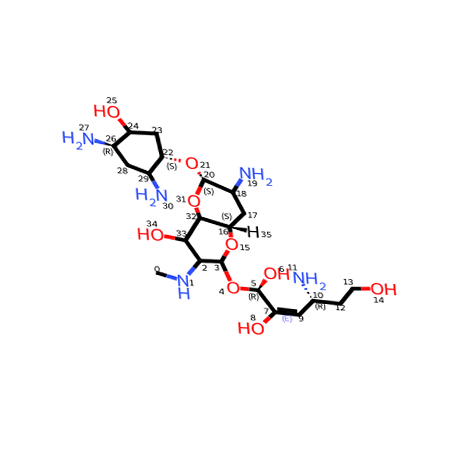 CNC1C(O[C@@H](O)/C(O)=C\[C@H](N)CCO)O[C@H]2CC(N)[C@@H](O[C@H]3CC(O)[C@H](N)CC3N)OC2C1O